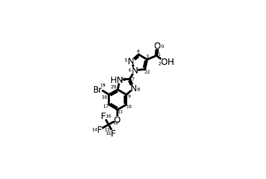 O=C(O)c1cnn(-c2nc3cc(OC(F)(F)F)cc(Br)c3[nH]2)c1